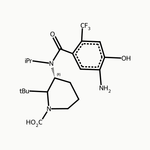 CC(C)N(C(=O)c1cc(N)c(O)cc1C(F)(F)F)[C@@H]1CCCN(C(=O)O)C1C(C)(C)C